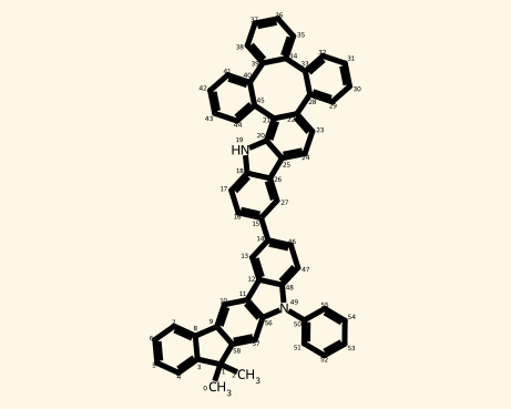 CC1(C)c2ccccc2-c2cc3c4cc(-c5ccc6[nH]c7c8c(ccc7c6c5)-c5ccccc5-c5ccccc5-c5ccccc5-8)ccc4n(-c4ccccc4)c3cc21